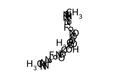 Cn1nnc(-c2ccc(-c3ccc(N4C[C@H](COCC(O)COP(C)(=O)OC[C@H]5CN(c6ccc(-c7ccc(-c8nnn(C)n8)nc7)c(F)c6)C(=O)O5)OC4=O)cc3F)cn2)n1